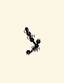 CC(C)(C)OC(=O)N1CCC(NC(=O)c2ccc(C#Cc3cc(NC(=O)NCCc4cccnc4)ccc3-c3ccncc3)cc2)CC1